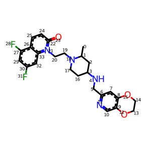 CC1CC(NCc2cc3c(cn2)OCCO3)CCN1CCn1c(=O)ccc2c(F)cc(F)cc21